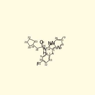 Cc1cnc2c(Cc3ccc(F)cc3)c(NC(=O)CC3CCCC3)nn2c1